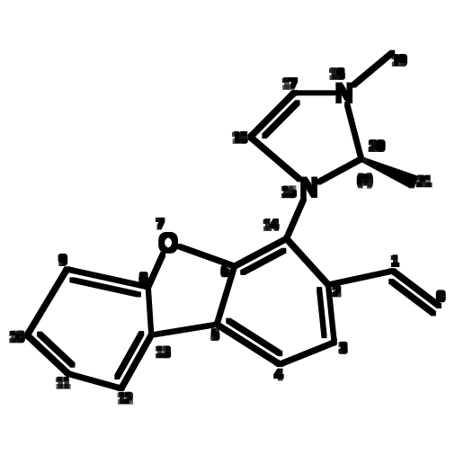 C=Cc1ccc2c(oc3ccccc32)c1N1C=CN(C)[C@H]1C